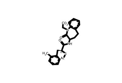 CC(=O)S[C@@H](Cc1ccccc1C)C(=O)NC1CCc2ccccc2N(CC(=O)O)C1=O